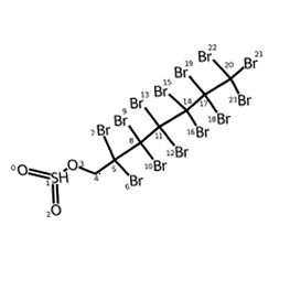 O=[SH](=O)O[CH]C(Br)(Br)C(Br)(Br)C(Br)(Br)C(Br)(Br)C(Br)(Br)C(Br)(Br)Br